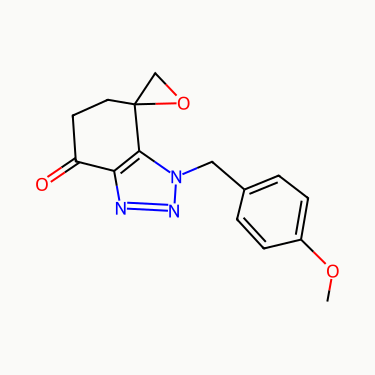 COc1ccc(Cn2nnc3c2C2(CCC3=O)CO2)cc1